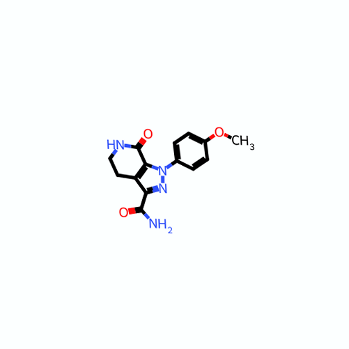 COc1ccc(-n2nc(C(N)=O)c3c2C(=O)NCC3)cc1